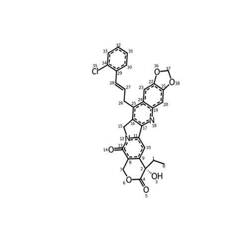 CC[C@@]1(O)C(=O)OCc2c1cc1n(c2=O)Cc2c-1nc1cc3c(cc1c2C/C=C/c1ccccc1Cl)OCO3